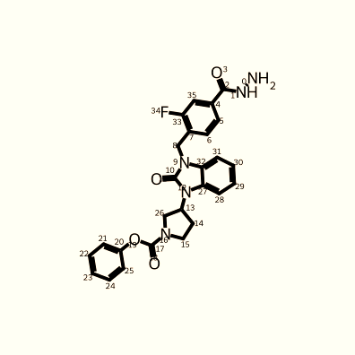 NNC(=O)c1ccc(Cn2c(=O)n(C3CCN(C(=O)Oc4ccccc4)C3)c3ccccc32)c(F)c1